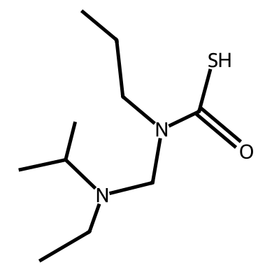 CCCN(CN(CC)C(C)C)C(=O)S